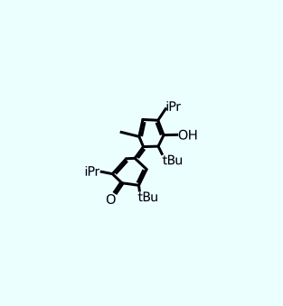 CC1=CC(C(C)C)=C(O)C(C(C)(C)C)C1=C1C=C(C(C)C)C(=O)C(C(C)(C)C)=C1